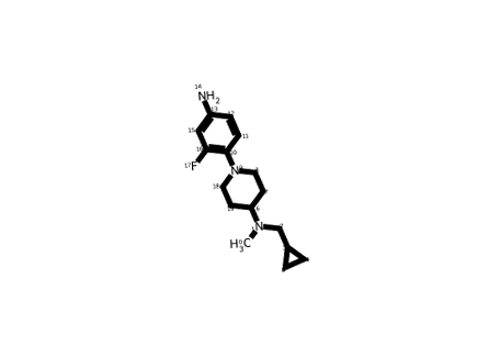 CN(CC1CC1)C1CCN(c2ccc(N)cc2F)CC1